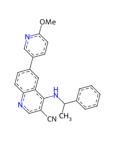 COc1ccc(-c2ccc3ncc(C#N)c(NC(C)c4ccccc4)c3c2)cn1